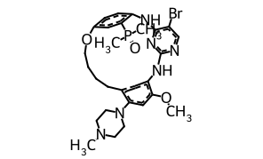 COc1cc(N2CCN(C)CC2)c2cc1Nc1ncc(Br)c(n1)Nc1ccc(cc1P(C)(C)=O)OCCCC2